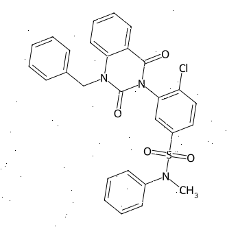 CN(c1ccccc1)S(=O)(=O)c1ccc(Cl)c(-n2c(=O)c3ccccc3n(Cc3ccccc3)c2=O)c1